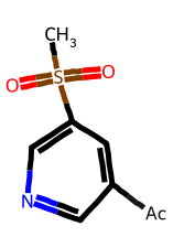 CC(=O)c1cncc(S(C)(=O)=O)c1